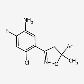 CC(=O)C1(C)CC(c2cc(N)c(F)cc2Cl)=NO1